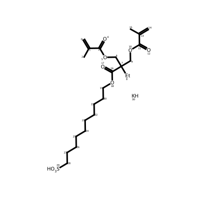 C=C(C)C(=O)OCC(CC)(COC(=O)C(=C)C)C(=O)OCCCCCCCCCCS(=O)(=O)O.[KH]